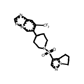 O=S(=O)(c1cnn2c1CCC2)N1CCC(c2cn3ncnc3cc2C(F)(F)F)CC1